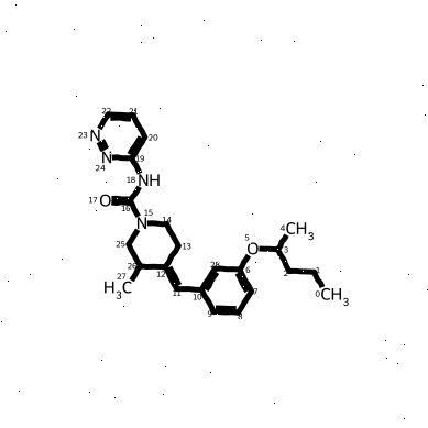 CCCC(C)Oc1cccc(C=C2CCN(C(=O)Nc3cccnn3)CC2C)c1